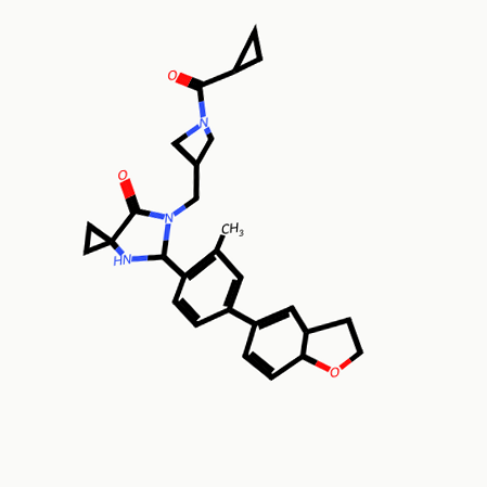 Cc1cc(C2=CC3CCOC3C=C2)ccc1C1NC2(CC2)C(=O)N1CC1CN(C(=O)C2CC2)C1